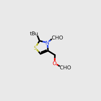 CC(C)(C)C1SC=C(COC=O)N1C=O